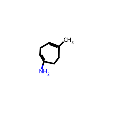 CC1=CCC=C(N)CC1